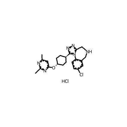 Cc1cc(O[C@H]2CC[C@H](c3nnc4n3-c3ccc(Cl)cc3CNC4)CC2)nc(C)n1.Cl